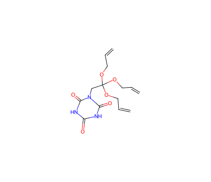 C=CCOC(Cn1c(=O)[nH]c(=O)[nH]c1=O)(OCC=C)OCC=C